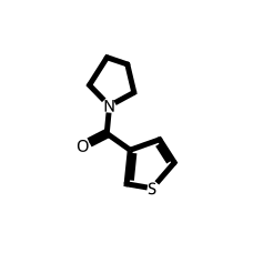 O=C(c1ccsc1)N1CCCC1